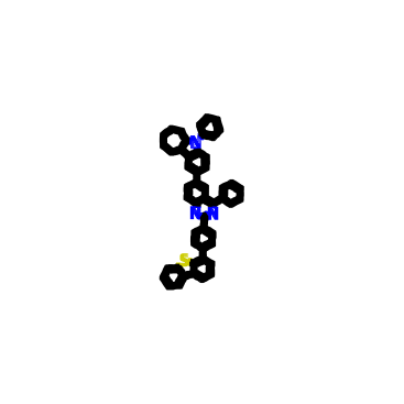 C1=CCCC(c2nc(-c3ccc(-c4cccc5c4sc4ccccc45)cc3)nc3ccc(-c4ccc5c(c4)C4CCCCCC4N5c4ccccc4)cc23)=C1